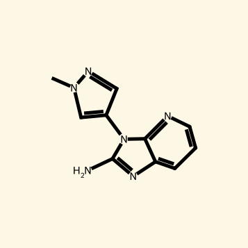 Cn1cc(-n2c(N)nc3cccnc32)cn1